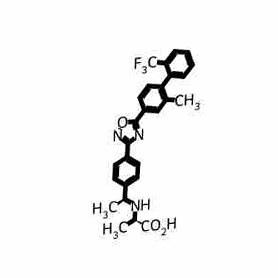 Cc1cc(-c2nc(-c3ccc([C@H](C)N[C@@H](C)C(=O)O)cc3)no2)ccc1-c1ccccc1C(F)(F)F